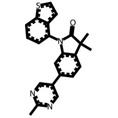 Cc1ncc(-c2ccc3c(c2)N(c2cccc4sccc24)C(=O)C3(C)C)cn1